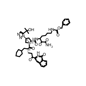 CC(C)(O)c1cnnn1[C@H]1C[C@@H](C(=O)NC(CCCCNC(=O)OCc2ccccc2)C(=O)C(N)=O)N(C(=O)[C@H](CCC(=O)c2cc3ccccc3c(=O)[nH]2)CC2CCCCC2)C1